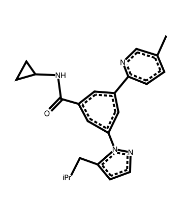 Cc1ccc(-c2cc(C(=O)NC3CC3)cc(-n3nccc3CC(C)C)c2)nc1